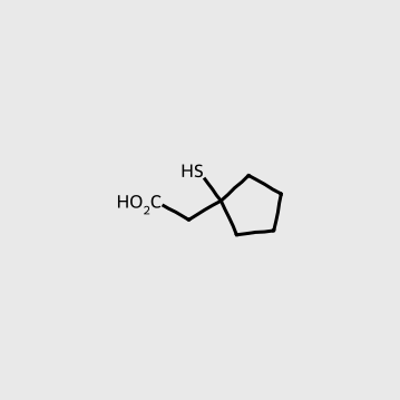 O=C(O)CC1(S)CCCC1